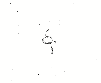 N#Cc1ccc(CI)cc1F